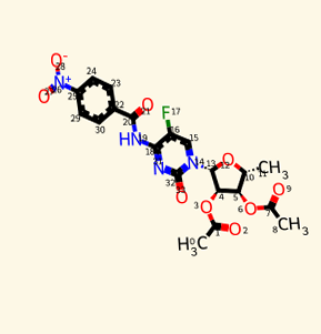 CC(=O)O[C@@H]1[C@H](OC(C)=O)[C@@H](C)O[C@H]1n1cc(F)c(NC(=O)c2ccc([N+](=O)[O-])cc2)nc1=O